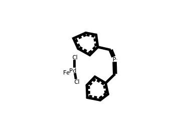 C(=[P]=Cc1ccccc1)c1ccccc1.[Cl][Pd][Cl].[Fe]